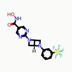 O=C(NO)c1cnc(N2C[C@@H]3C2CN3c2cccc(S(F)(F)(F)(F)F)c2)nc1